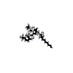 CCCCC/C=C/C(F)(F)C(=O)NC[C@@]12C[C@@H](C(=O)Nc3nc(C(F)(F)F)ccc3C)N(C(=O)OC(C)(C)C)[C@@H]1C2